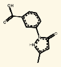 Cc1cc(=O)n(-c2cccc(C(=O)O)c2)[nH]1